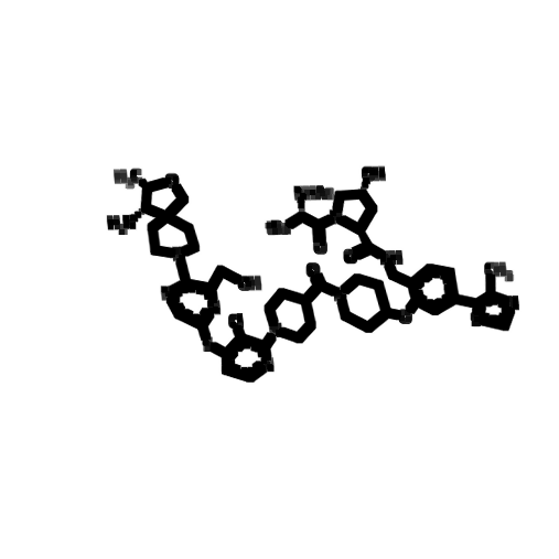 CC(=O)N[C@H](C(=O)N1C[C@H](O)C[C@H]1C(=O)NCc1ccc(-c2scnc2C)cc1OC1CCN(C(=O)C2CCN(c3nccc(Sc4cnc(N5CCC6(CC5)CO[C@@H](C)[C@H]6N)c(CO)n4)c3Cl)CC2)CC1)C(C)(C)C